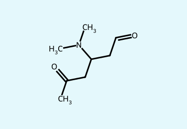 CC(=O)CC(CC=O)N(C)C